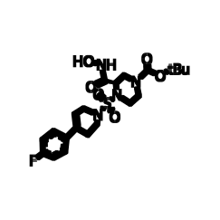 CC(C)(C)OC(=O)N1CCN(S(=O)(=O)N2CC=C(c3ccc(F)cc3)CC2)[C@@H](C(=O)NO)C1